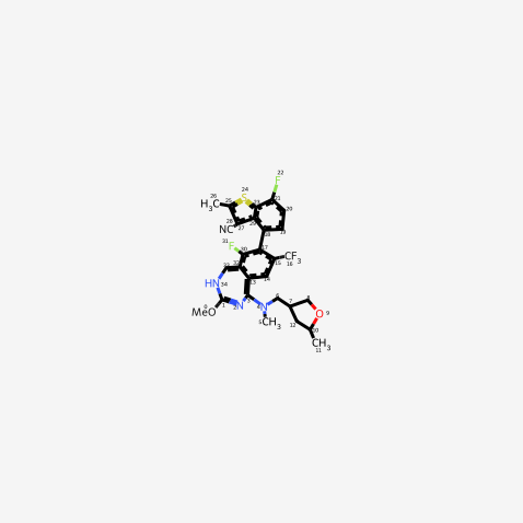 COC1=NC(N(C)CC2COC(C)C2)=c2cc(C(F)(F)F)c(-c3ccc(F)c4sc(C)c(C#N)c34)c(F)c2=CN1